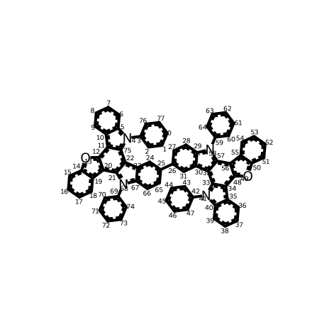 c1ccc(-n2c3ccccc3c3c4oc5ccccc5c4c4c(c5cc(-c6ccc7c(c6)c6c8c(c9ccccc9n8-c8ccccc8)c8oc9ccccc9c8c6n7-c6ccccc6)ccc5n4-c4ccccc4)c32)cc1